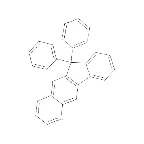 [c]1cccc2cc3c(cc12)-c1ccccc1C3(c1ccccc1)c1ccccc1